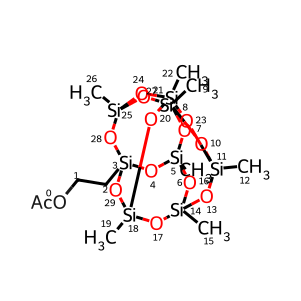 CC(=O)OCC[Si]12O[Si]3(C)O[Si]4(C)O[Si]5(C)O[Si](C)(O3)O[Si](C)(O[Si](C)(O5)O[Si](C)(O4)O1)O2